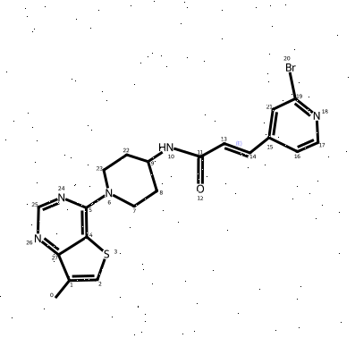 Cc1csc2c(N3CCC(NC(=O)/C=C/c4ccnc(Br)c4)CC3)ncnc12